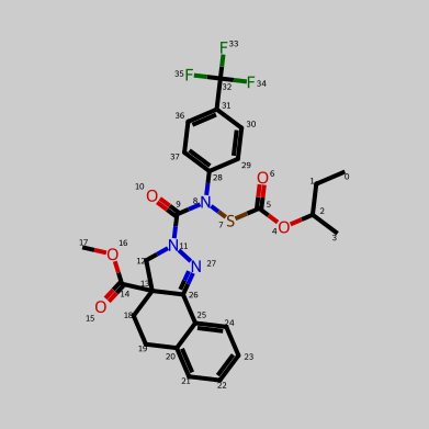 CCC(C)OC(=O)SN(C(=O)N1CC2(C(=O)OC)CCc3ccccc3C2=N1)c1ccc(C(F)(F)F)cc1